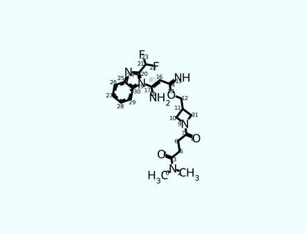 CN(C)C(=O)CCC(=O)N1CC(COC(=N)/C=C(\N)n2c(C(F)F)nc3ccccc32)C1